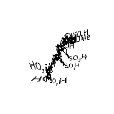 COc1ccc2c(nc3c(C#N)c(C)c(N=Nc4cc(C)c(N=Nc5cc(C)c(N=Nc6nc7c(S(=O)(=O)O)cc8c(CO)cc(S(=O)(=O)O)cc8c7s6)cc5SCCCS(=O)(=O)O)cc4OCCCS(=O)(=O)O)c(O)n32)c1S(=O)(=O)O